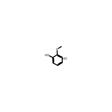 COc1ccccc1O.Cl